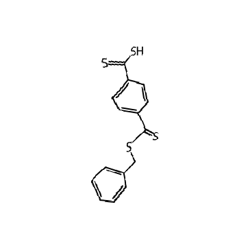 S=C(S)c1ccc(C(=S)SCc2ccccc2)cc1